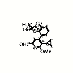 COc1nc(C=O)cc(-c2cccc(Cl)c2O[Si](C)(C)C(C)(C)C)c1C1CC1